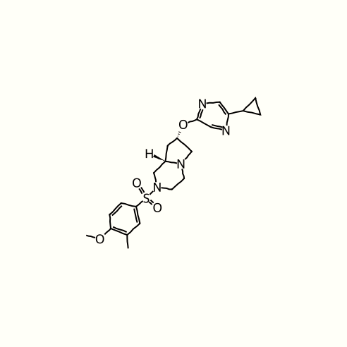 COc1ccc(S(=O)(=O)N2CCN3C[C@@H](Oc4cnc(C5CC5)cn4)C[C@H]3C2)cc1C